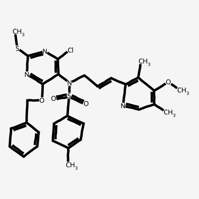 COc1c(C)cnc(C=CCN(c2c(Cl)nc(SC)nc2OCc2ccccc2)S(=O)(=O)c2ccc(C)cc2)c1C